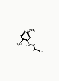 Cc1ccc(N)cc1OCCF